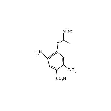 CCCCCCC(C)Oc1cc([N+](=O)[O-])c(C(=O)O)cc1N